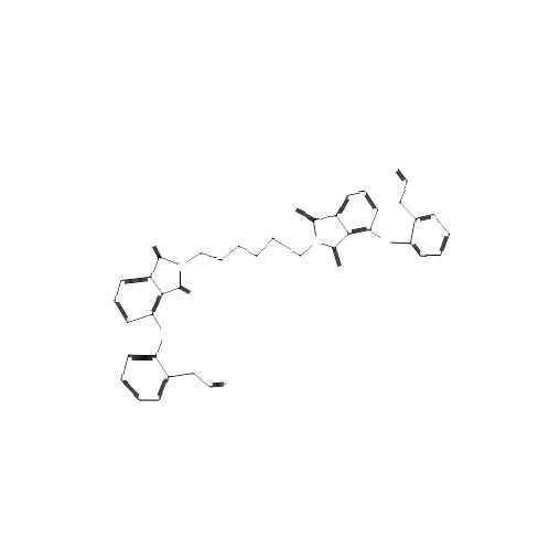 C=CCc1ccccc1Oc1cccc2c1C(=O)N(CCCCCCN1C(=O)c3cccc(Oc4ccccc4CC=C)c3C1=O)C2=O